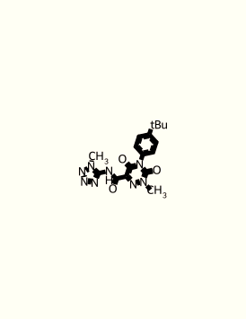 Cn1nnnc1NC(=O)c1nn(C)c(=O)n(-c2ccc(C(C)(C)C)cc2)c1=O